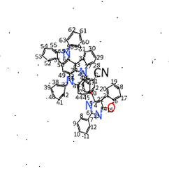 N#Cc1cc(-c2nc(-c3ccccc3)nc3oc4ccccc4c23)ccc1-n1c2ccccc2c2c1c(N(c1ccccc1)c1ccccc1)cc1c3ccccc3n(-c3ccccc3)c12